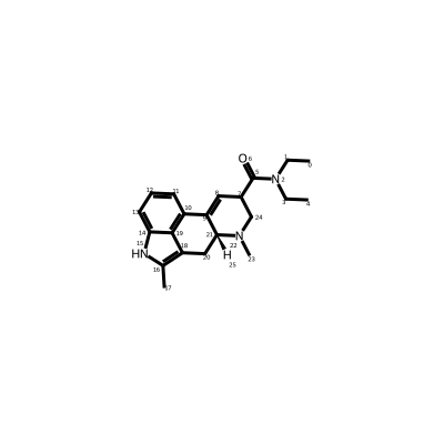 CCN(CC)C(=O)C1C=C2c3cccc4[nH]c(C)c(c34)C[C@H]2N(C)C1